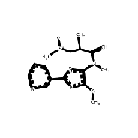 C=C(C(C)C[S+](C)[O-])N(C)c1sc(-c2cccnc2)nc1OC